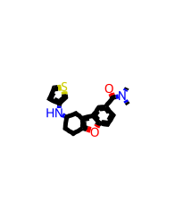 CN(C)C(=O)c1ccc2oc3c(c2c1)CC(Nc1ccsc1)CC3